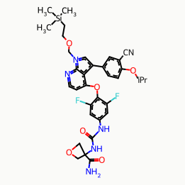 CC(C)Oc1ccc(-c2cn(COCC[Si](C)(C)C)c3nccc(Oc4c(F)cc(NC(=O)NC5(C(N)=O)COC5)cc4F)c23)cc1C#N